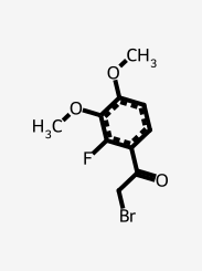 COc1ccc(C(=O)CBr)c(F)c1OC